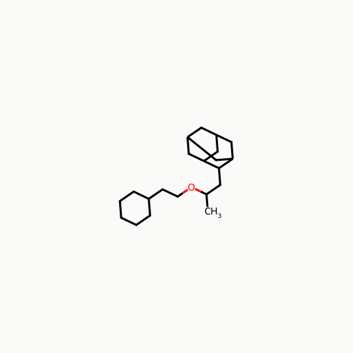 CC(CC1C2CC3CC(C2)CC1C3)OCCC1CCCCC1